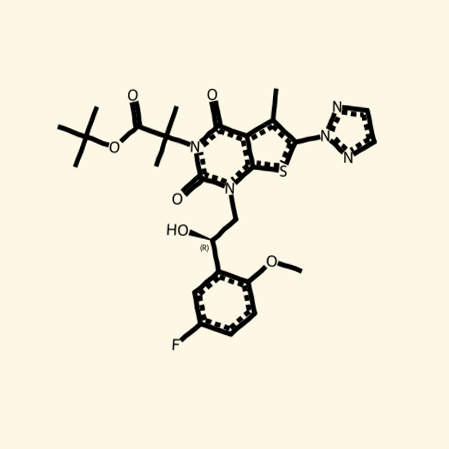 COc1ccc(F)cc1[C@@H](O)Cn1c(=O)n(C(C)(C)C(=O)OC(C)(C)C)c(=O)c2c(C)c(-n3nccn3)sc21